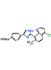 CCCCCCc1ccc(-c2c[nH]c(-c3c(C)ccc4c(Cl)cccc34)n2)cc1